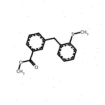 COC(=O)c1cccc(Cc2ccccc2SC)c1